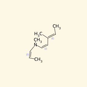 C/C=C\N(C)/C=C\C(C)=C\C